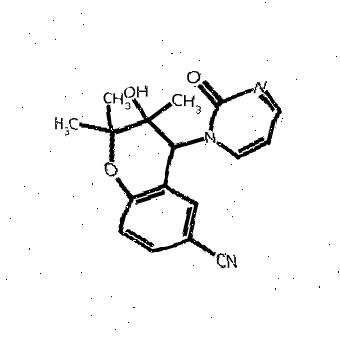 CC1(C)Oc2ccc(C#N)cc2C(n2cccnc2=O)C1(C)O